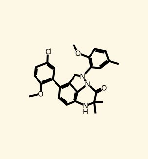 COc1ccc(Cl)cc1-c1ccc2c3c1CN(c1cc(C)ccc1OC)N3C(=O)C(C)(C)N2